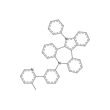 Cc1cccnc1-c1cccc(N2c3ccccc3-c3c(n(-c4ccccc4)c4ccccc34)-c3ccccc32)c1